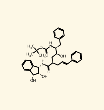 CC(C)(C)OC(=O)N[C@@H](Cc1ccccc1)[C@@H](O)C[C@@H](CC=Cc1ccccc1)C(=O)N[C@H]1c2ccccc2[C@@H](O)[C@H]1O